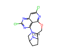 O=C(O)N1C2CCC1C1COc3nc(Cl)cc4nc(Cl)nc(c34)N1C2